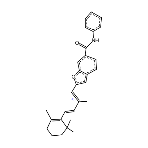 CC1=C(C=C/C(C)=C/c2cc3ccc(C(=O)Nc4ccccc4)cc3o2)C(C)(C)CCC1